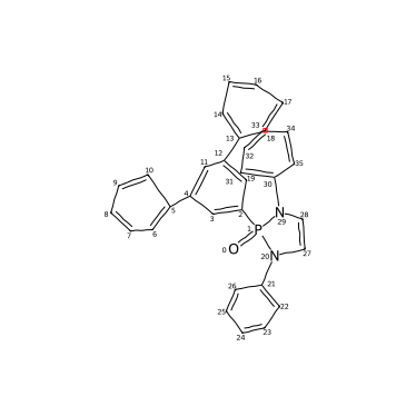 O=P1(c2cc(-c3ccccc3)cc(-c3ccccc3)c2)N(c2ccccc2)C=CN1c1ccccc1